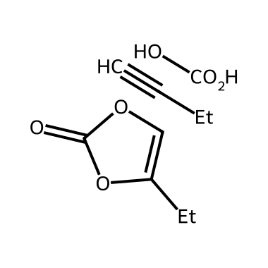 C#CCC.CCc1coc(=O)o1.O=C(O)O